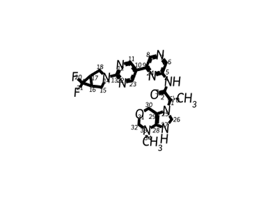 C[C@@H](C(=O)Nc1cncc(-c2cnc(N3CC4C(C3)C4(F)F)nc2)n1)N1CNC2=C1COCN2C